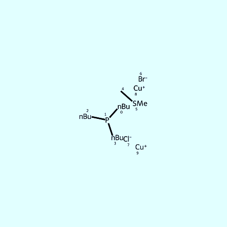 CCCCP(CCCC)CCCC.CSC.[Br-].[Cl-].[Cu+].[Cu+]